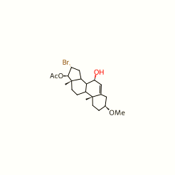 CO[C@H]1CC[C@@]2(C)C(=C[C@H](O)C3C2CC[C@@]2(C)C3C[C@@H](Br)[C@@H]2OC(C)=O)C1